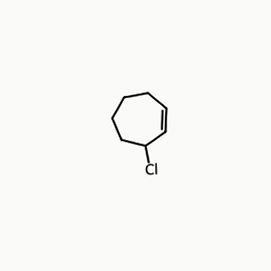 ClC1C=CCCCC1